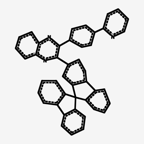 c1ccc(-c2ccc(-c3nc4ccccc4nc3-c3ccc4c(c3)C3(c5ccccc5-c5ccccc53)c3ccccc3-4)cc2)nc1